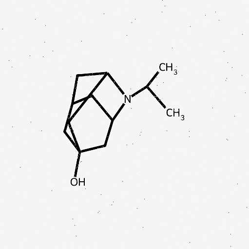 CC(C)N1C2CC3CC1CC(O)(C3)C2